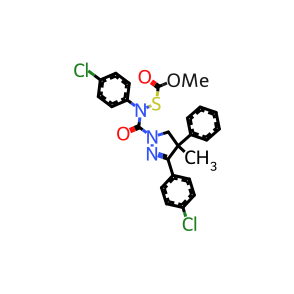 COC(=O)SN(C(=O)N1CC(C)(c2ccccc2)C(c2ccc(Cl)cc2)=N1)c1ccc(Cl)cc1